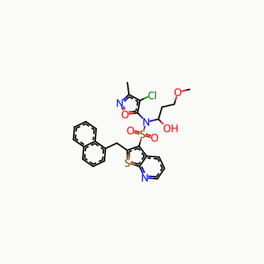 COCCC(O)N(c1onc(C)c1Cl)S(=O)(=O)c1c(Cc2cccc3ccccc23)sc2ncccc12